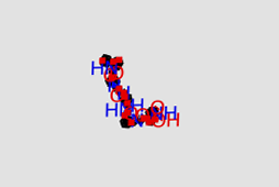 CN(C(=O)CCN1CCC(OC(=O)Nc2ccccc2-c2ccccc2)CC1)c1ccc(CNC(=O)Cc2cccc(CNC[C@H](O)c3ccc(O)c4[nH]c(=O)ccc34)c2)cc1